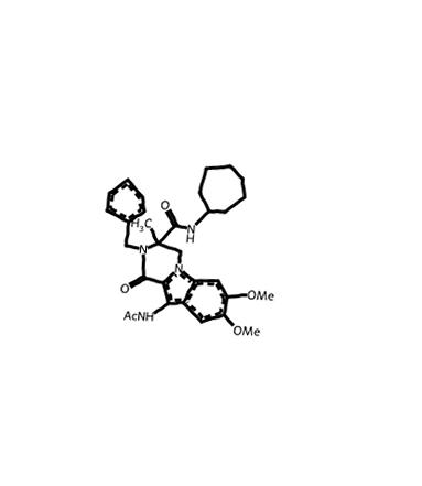 COc1cc2c(NC(C)=O)c3n(c2cc1OC)CC(C)(C(=O)NC1CCCCCC1)N(Cc1ccccc1)C3=O